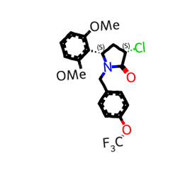 COc1cccc(OC)c1[C@@H]1C[C@H](Cl)C(=O)N1Cc1ccc(OC(F)(F)F)cc1